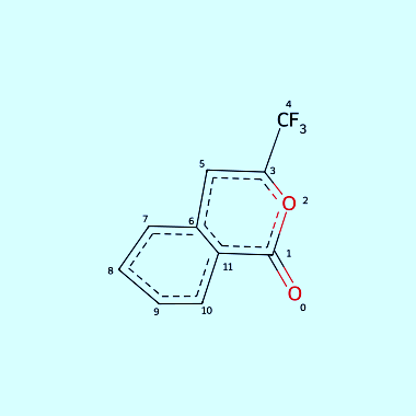 O=c1oc(C(F)(F)F)cc2ccccc12